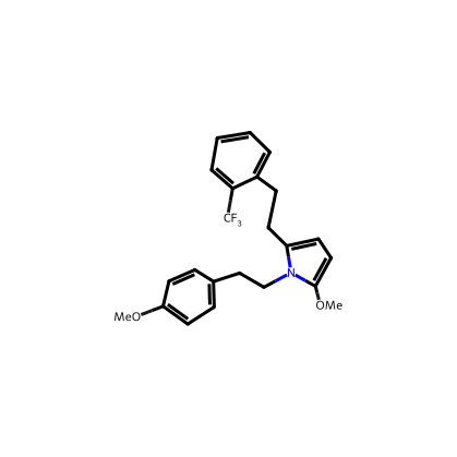 COc1ccc(CCn2c(CCc3ccccc3C(F)(F)F)ccc2OC)cc1